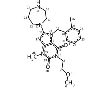 COCCn1c(=O)c2c(nc(N3CCCNCC3)n2Cc2ccccc2I)n(C)c1=O